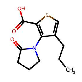 CCCc1csc(C(=O)O)c1N1CCCC1=O